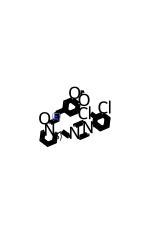 O=C(/C=C/c1ccc2c(c1)OCO2)N1CCCC[C@H]1CCN1CCN(c2cccc(Cl)c2Cl)CC1